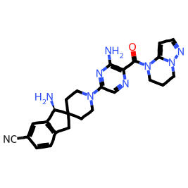 N#Cc1ccc2c(c1)[C@@H](N)C1(CCN(c3cnc(C(=O)N4CCCn5nccc54)c(N)n3)CC1)C2